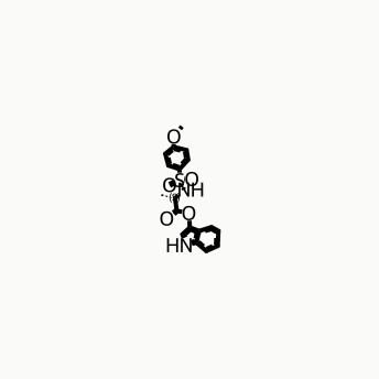 COc1ccc(S(=O)(=O)N[C@@H](C)C(=O)Oc2c[nH]c3ccccc23)cc1